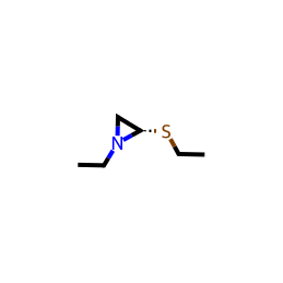 CCS[C@H]1CN1CC